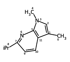 Cc1cn(C)c2nc(C(C)C)ccc12